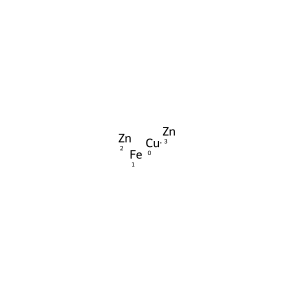 [Cu].[Fe].[Zn].[Zn]